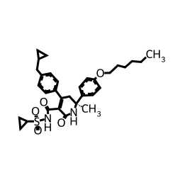 CCCCCCOc1ccc([C@]2(C)CC(c3ccc(CC4CC4)cc3)=C(C(=O)NS(=O)(=O)C3CC3)C(=O)N2)cc1